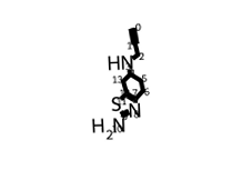 C#CCNC1CCc2nc(N)sc2C1